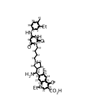 CCc1cc(Nc2cc(=O)n(CCCCN3CCC(C(N)c4cc5c(cc4F)c(=O)c(C(=O)O)cn5CC)C3)c(=O)[nH]2)ccc1C